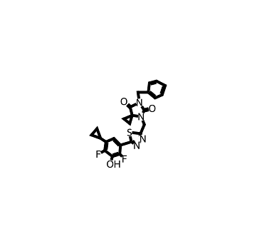 O=C1N(Cc2ccccc2)C(=O)C2(CC2)N1Cc1nnc(-c2cc(C3CC3)c(F)c(O)c2F)s1